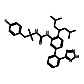 CC(C)CN(CC(C)C)c1ccc(-c2ccccc2-c2nn[nH]n2)cc1NC(=O)NC(C)(C)Cc1ccc(F)cc1